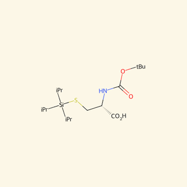 CC(C)[Si](SC[C@H](NC(=O)OC(C)(C)C)C(=O)O)(C(C)C)C(C)C